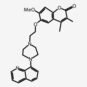 COc1cc2oc(=O)c(C)c(C)c2cc1OCCN1CCN(c2cccc3cccnc23)CC1